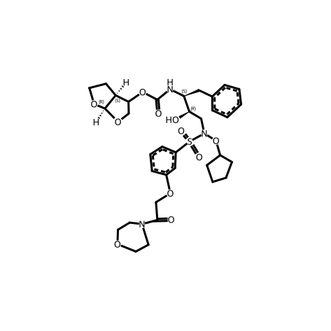 O=C(N[C@@H](Cc1ccccc1)[C@H](O)CN(OC1CCCC1)S(=O)(=O)c1cccc(OCC(=O)N2CCOCC2)c1)OC1CO[C@H]2OCC[C@@H]12